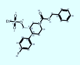 CCS(=O)(=O)OC[C@@H]1CN(C(=O)OCc2ccccc2)CC[C@H]1c1ccc(F)cc1